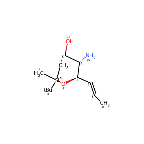 C/C=C/[C@@H](O[Si](C)(C)C(C)(C)C)[C@@H](N)CO